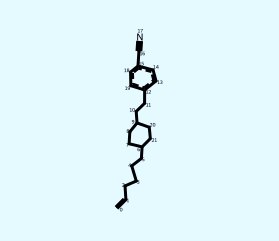 C=CCCCCC1CCC(CCc2ccc(C#N)cc2)CC1